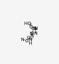 Cc1ccc(C#N)cc1C(=O)NC1(C)CCN(c2ccc(-c3cc(OCC(C)(C)O)cn4ncc(C#N)c34)cn2)CC1